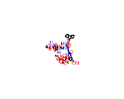 C=CCOC(=O)[C@H]1O[C@@H](Oc2ccc(CO)cc2CNC(=O)CCNC(=O)[C@H](CCCC(=O)N[C@H]2CO[C@H]3[C@@H]2OC[C@@H]3NC(=O)OC(C)(C)C)NC(=O)OCC2c3ccccc3-c3ccccc32)[C@H](OC(C)=O)[C@@H](OC(C)=O)[C@@H]1OC(C)=O